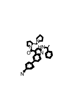 C[C@H](Nc1cc(C(=O)N2CCC[C@H]2CN2CCCC2)c2cc(-c3ccc(C#N)cc3)ccc2n1)c1ccccc1